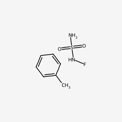 Cc1ccccc1.NS(=O)(=O)NF